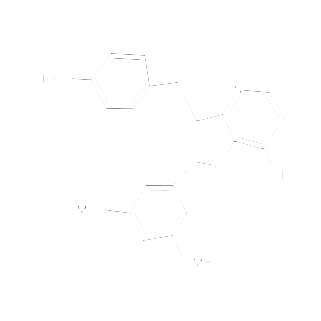 COc1cc(COc2c(Cl)ccnc2CCc2ccc(C(=O)O)cc2)cc(OC)c1